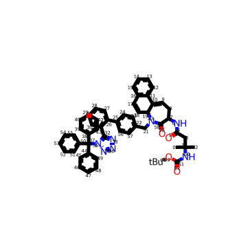 CC(C)(CC(=O)NC1CC=C2c3ccccc3C=CC2N(Cc2ccc(-c3ccccc3-c3nnnn3C(c3ccccc3)(c3ccccc3)c3ccccc3)cc2)C1=O)NC(=O)OC(C)(C)C